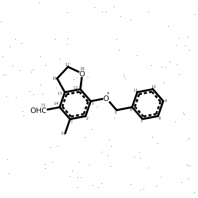 Cc1cc(OCc2ccccc2)c2c(c1C=O)CCO2